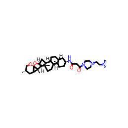 C[C@@H]1CO[C@]23O[C@H]4C[C@H]5[C@@H]6CC[C@@H]7C[C@H](NC(=O)CC(=O)N8CCN(CCN(C)C)CC8)CC[C@]7(C)[C@H]6CC[C@]5(C)[C@H]4[C@]2(C)C3C1